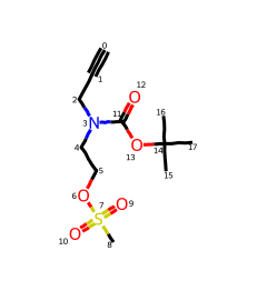 C#CCN(CCOS(C)(=O)=O)C(=O)OC(C)(C)C